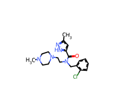 Cc1cc(C(=O)N(CCN2CCN(C)CC2)Cc2ccccc2Cl)[nH]n1